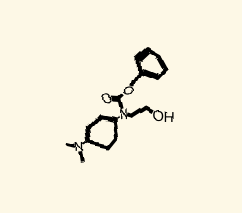 CN(C)[C@H]1CC[C@H](N(CCO)C(=O)OCc2ccccc2)CC1